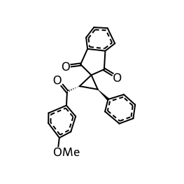 COc1ccc(C(=O)[C@H]2[C@H](c3ccccc3)C23C(=O)c2ccccc2C3=O)cc1